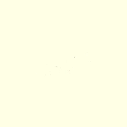 Cc1ccc2nc(C3C(=O)c4ccc(C(=O)N(C)C)cc4C3=O)c(O)cc2c1